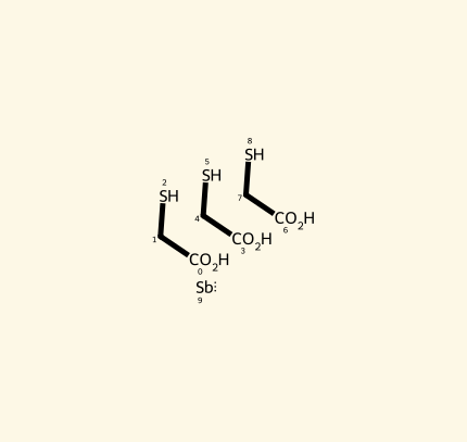 O=C(O)CS.O=C(O)CS.O=C(O)CS.[Sb]